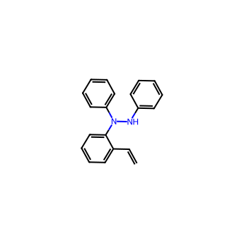 C=Cc1ccccc1N(Nc1ccccc1)c1ccccc1